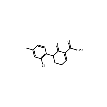 COC(=O)C1=CCCC(c2ccc(Cl)cc2Cl)C1=O